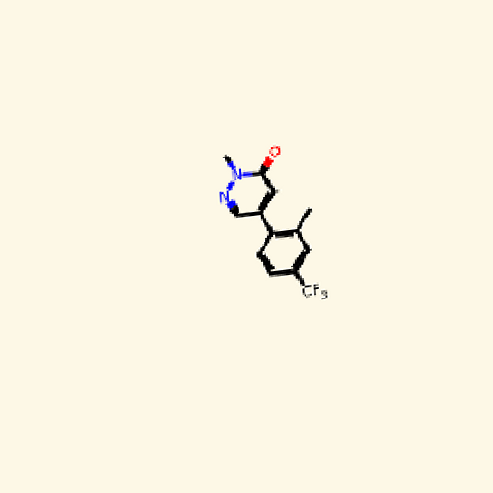 Cc1cc(C(F)(F)F)ccc1-c1[c]c(=O)n(C)nc1